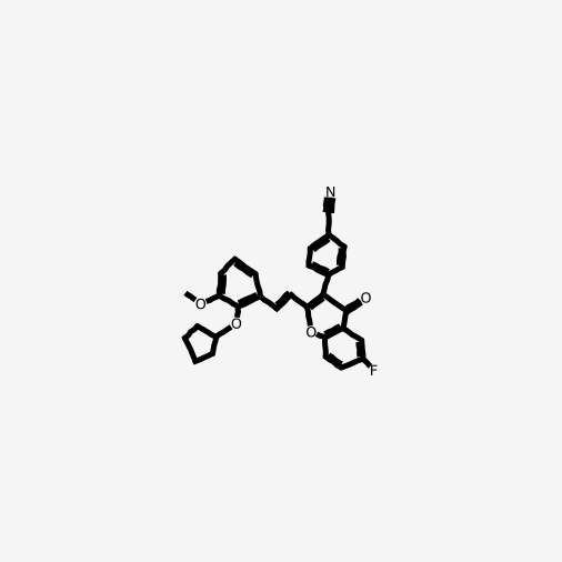 COc1cccc(C=Cc2oc3ccc(F)cc3c(=O)c2-c2ccc(C#N)cc2)c1OC1CCCC1